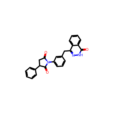 O=C1CC(c2ccccc2)C(=O)N1c1cccc(Cc2n[nH]c(=O)c3ccccc23)c1